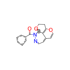 O=C(c1ccccc1)N1N=CC=C2C=COC3=C2B1OCC3